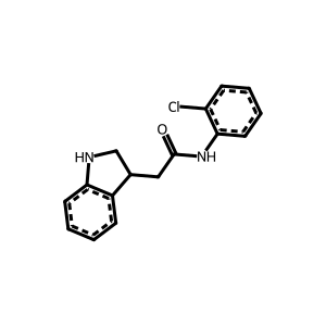 O=C(CC1CNc2ccccc21)Nc1ccccc1Cl